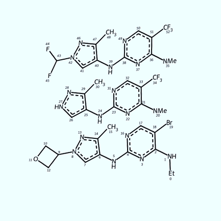 CCNc1nc(Nc2cn(C3COC3)nc2C)ncc1Br.CNc1nc(Nc2c[nH]nc2C)ncc1C(F)(F)F.CNc1nc(Nc2cn(C(F)F)nc2C)ncc1C(F)(F)F